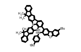 CC(C)(C)c1ccc(Nc2cc3oc4ccc(C(C)(C)C)cc4c3cc2-c2ccc3c4cc5c(cc4n4c3c2Bc2cc3c(cc2-4)C(C)(C)c2ccccc2-3)C(C)(C)c2ccccc2-5)cc1